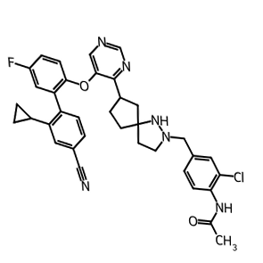 CC(=O)Nc1ccc(CN2CCC3(CCC(c4ncncc4Oc4ccc(F)cc4-c4ccc(C#N)cc4C4CC4)C3)N2)cc1Cl